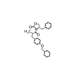 CC(Cc1ccc(OCc2ccccc2)cc1)C(=O)N1C(=O)OCC1Cc1ccccc1